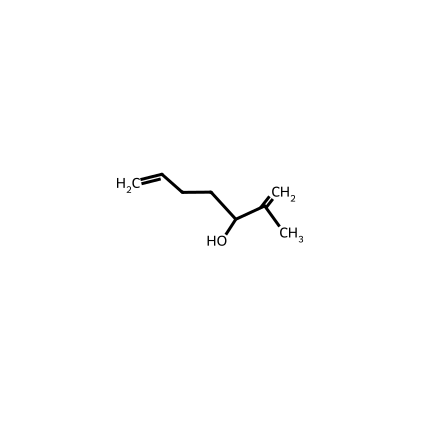 C=CCCC(O)C(=C)C